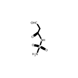 NS(=O)(=O)NC(=O)C[C]=O